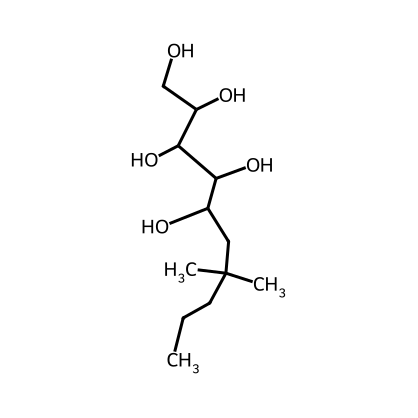 CCCC(C)(C)CC(O)C(O)C(O)C(O)CO